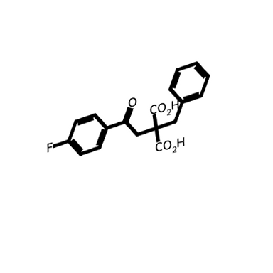 O=C(CC(Cc1ccccc1)(C(=O)O)C(=O)O)c1ccc(F)cc1